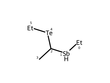 C[CH2][SbH][CH](C)[Te]CC